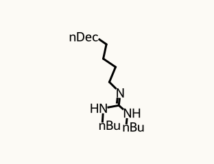 CCCCCCCCCCCCCCN=C(NCCCC)NCCCC